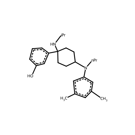 CCCN(c1cc(C)cc(C)c1)C1CCC(NC(C)C)(c2cccc(O)c2)CC1